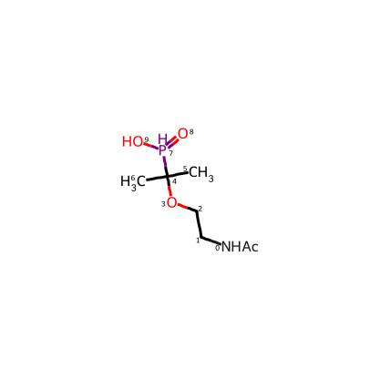 CC(=O)NCCOC(C)(C)[PH](=O)O